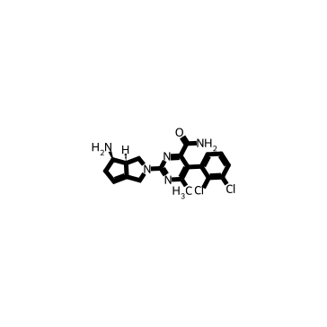 Cc1nc(N2CC3=CC[C@@H](N)[C@H]3C2)nc(C(N)=O)c1-c1cccc(Cl)c1Cl